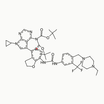 CCN1CCN(Cc2ccc(NC(=O)Nc3ccc(-c4cn(C5CC5)c5ncnc(N(C(=O)OC(C)(C)C)C(=O)OC(C)(C)C)c45)c4c3OCC4)cc2C(F)(F)F)CC1